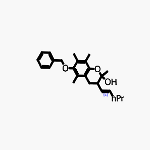 CCC/C=C/C1Cc2c(C)c(OCc3ccccc3)c(C)c(C)c2OC1(C)O